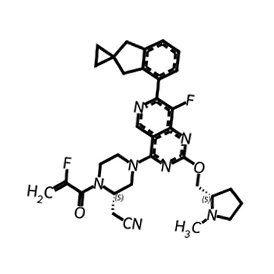 C=C(F)C(=O)N1CCN(c2nc(OC[C@@H]3CCCN3C)nc3c(F)c(-c4cccc5c4CC4(CC4)C5)ncc23)C[C@@H]1CC#N